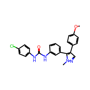 COc1ccc(-c2cnn(C)c2-c2cccc(NC(=O)Nc3ccc(Cl)cc3)c2)cc1